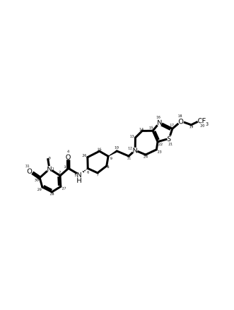 Cn1c(C(=O)N[C@H]2CC[C@H](CCN3CCc4nc(OCC(F)(F)F)sc4CC3)CC2)cccc1=O